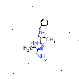 C=C1NC(C2CN(Cc3ccccc3)CC2C)=NN=C1CN